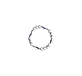 C1=C\CCCC/C=C/CCCC/C=C/CCCC/C=C/CCCC/1